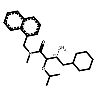 CC(C)OC(C(=O)N(C)Cc1cccc2ccccc12)[C@H](N)CC1CCCCC1